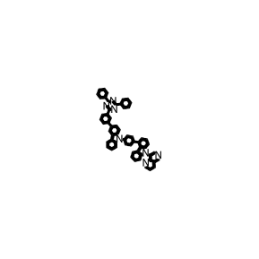 c1ccc(-c2nc(-c3ccccc3)nc(-c3cccc(-c4ccc5c(c4)c4ccccc4n5-c4ccc(-c5cccc6c5c5ccccc5n6-c5cncc6cccnc56)cc4)c3)n2)cc1